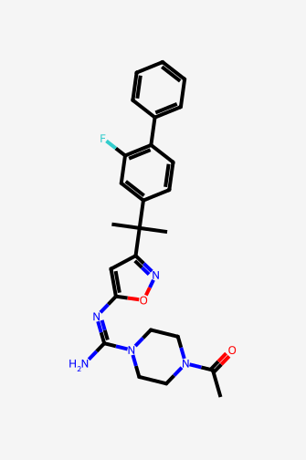 CC(=O)N1CCN(/C(N)=N\c2cc(C(C)(C)c3ccc(-c4ccccc4)c(F)c3)no2)CC1